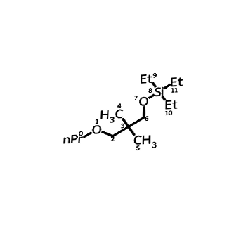 CCCOCC(C)(C)CO[Si](CC)(CC)CC